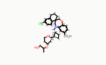 CC(CO)O[C@@H]1CCO[C@@H]([C@@H]2CC[C@H]2CN2CC3(CCCc4cc(Cl)ccc43)COc3ccc(C(=O)O)cc32)C1